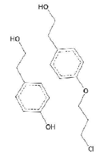 OCCc1ccc(O)cc1.OCCc1ccc(OCCCCl)cc1